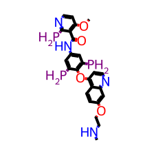 CNCCOc1ccc2c(Oc3c(P)cc(NC(=O)c4c(OC)ccnc4P)cc3P)ccnc2c1